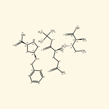 CC(C)(C)OC(=O)[C@@H](N)CCC(N)=O.CC[C@H](C)[C@H](N)C(=O)O.O=C(O)[C@@H]1C[C@H](OCc2ccccc2)CN1